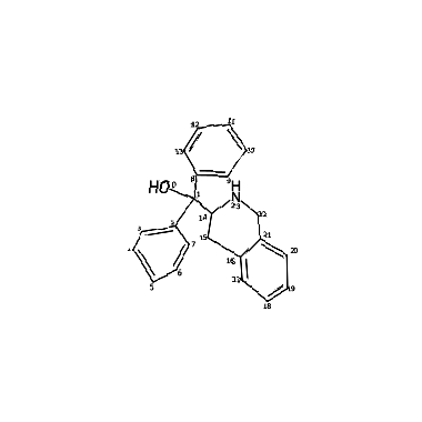 OC(c1ccccc1)(c1ccccc1)C1Cc2ccccc2CN1